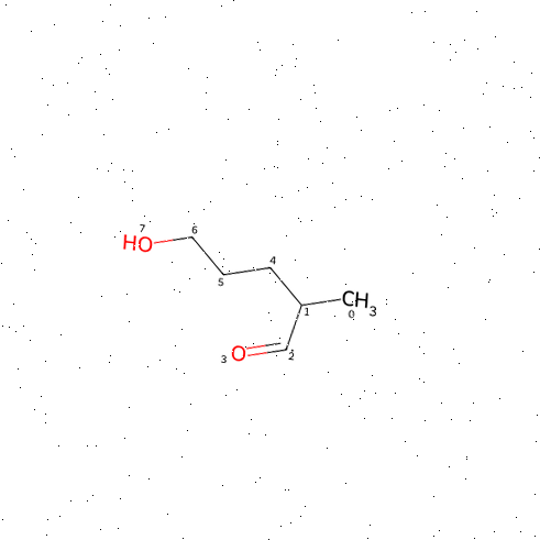 CC([C]=O)CCCO